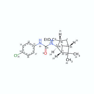 CCOC(=O)[C@@H]1C[C@H]2C[C@@H]([C@H]1NC(=O)Nc1ccc(Cl)cc1)C2(C)C